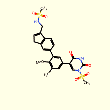 COc1c(-c2ccc3c(c2)CC=C3CNS(C)(=O)=O)cc(-c2cn(S(C)(=O)=O)c(=O)[nH]c2=O)cc1C(F)(F)F